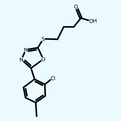 Cc1ccc(-c2nnc(SCCCC(=O)O)o2)c(Cl)c1